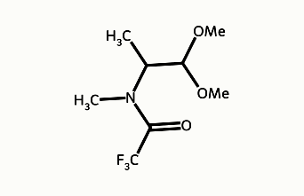 COC(OC)C(C)N(C)C(=O)C(F)(F)F